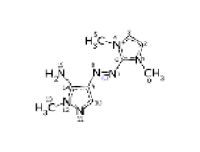 Cn1cc[n+](C)c1/N=N/c1cnn(C)c1N